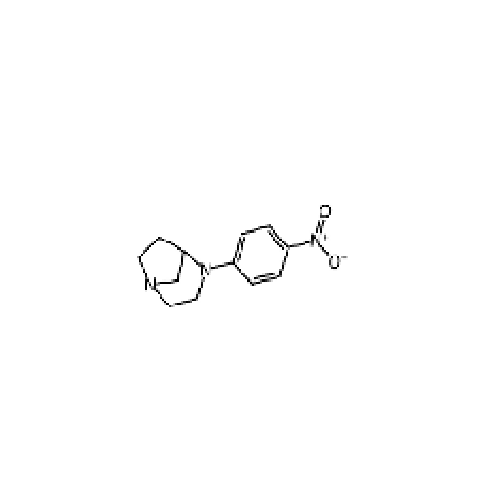 O=[N+]([O-])c1ccc(N2CCN3CCC2C3)cc1